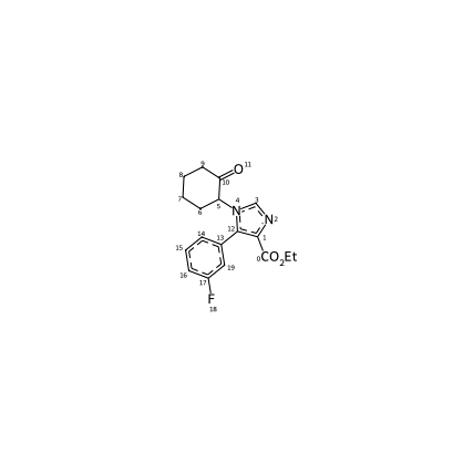 CCOC(=O)c1ncn(C2CCCCC2=O)c1-c1cccc(F)c1